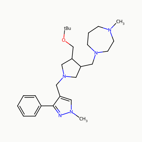 CN1CCCN(CC2CN(Cc3cn(C)nc3-c3ccccc3)CC2COC(C)(C)C)CC1